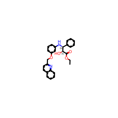 CCOC(=O)[C@@H](O)[C@@H](Nc1cccc(OCc2ccc3ccccc3n2)c1)c1ccccc1